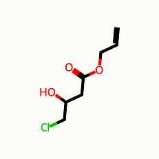 C=CCOC(=O)CC(O)CCl